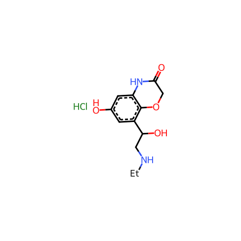 CCNCC(O)c1cc(O)cc2c1OCC(=O)N2.Cl